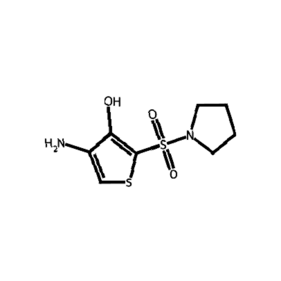 Nc1csc(S(=O)(=O)N2CCCC2)c1O